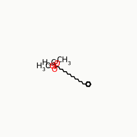 CCOC(C)(OCC)C(=O)CCCCCCCCCCCCCCc1ccccc1